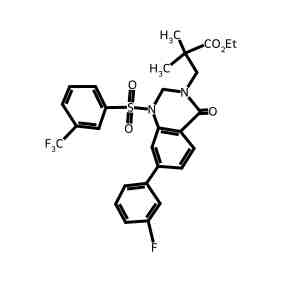 CCOC(=O)C(C)(C)CN1CN(S(=O)(=O)c2cccc(C(F)(F)F)c2)c2cc(-c3cccc(F)c3)ccc2C1=O